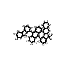 CC1(C)c2cc3ccccc3cc2-c2c(-c3c4ccccc4c(-c4cccc5c4sc4ccccc45)c4ccccc34)cccc21